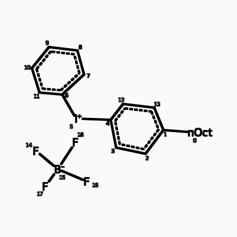 CCCCCCCCc1ccc([I+]c2ccccc2)cc1.F[B-](F)(F)F